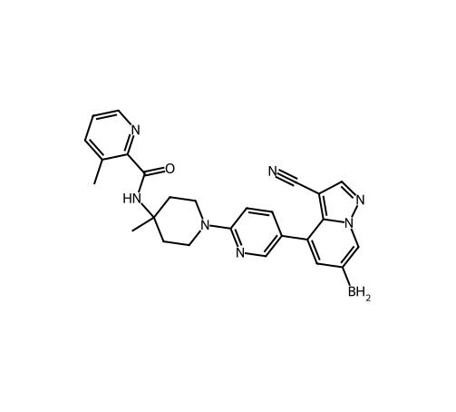 Bc1cc(-c2ccc(N3CCC(C)(NC(=O)c4ncccc4C)CC3)nc2)c2c(C#N)cnn2c1